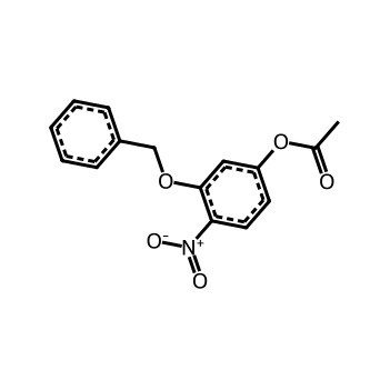 CC(=O)Oc1ccc([N+](=O)[O-])c(OCc2ccccc2)c1